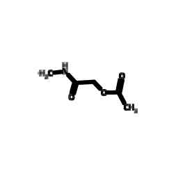 [CH2]NC(=O)COC(C)=O